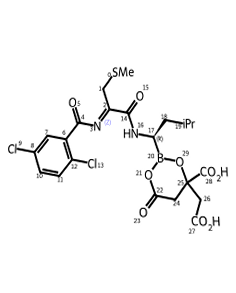 CSC/C(=N\C(=O)c1cc(Cl)ccc1Cl)C(=O)N[C@@H](CC(C)C)B1OC(=O)CC(CC(=O)O)(C(=O)O)O1